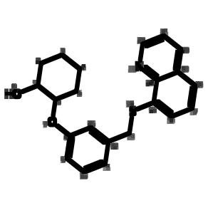 OC1CCCCC1Oc1cccc(CSc2cccc3cccnc23)c1